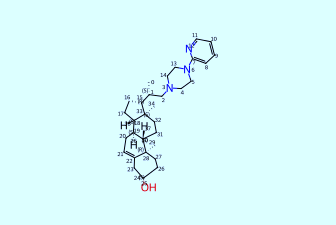 C[C@H](CN1CCN(c2ccccn2)CC1)[C@H]1CC[C@H]2[C@@H]3CC=C4C[C@@H](O)CC[C@]4(C)[C@H]3CC[C@]12C